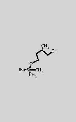 C[C@H](CO)CCO[Si](C)(C)C(C)(C)C